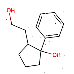 OCCC1CCCC1(O)c1ccccc1